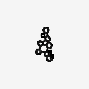 c1ccc2c(c1)-c1cc3cccnc3nc1-c1ccccc1-c1c-2cccc1-c1cccc2c1oc1ccccc12